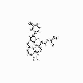 CN1C=CC(=O)[C@H](N(C(=O)NCCC(=O)O)c2ccc(-c3cccc(Cl)c3)s2)C1=O